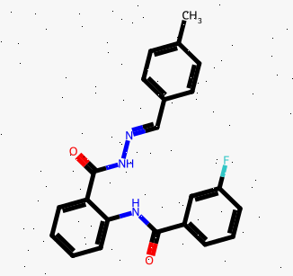 Cc1ccc(C=NNC(=O)c2ccccc2NC(=O)c2cccc(F)c2)cc1